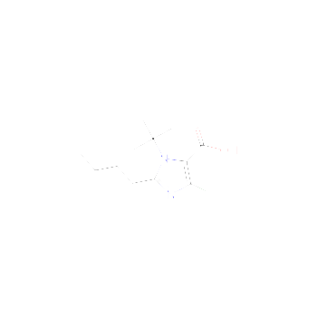 CCCCc1nc(Cl)c(C(=O)O)n1C(C)(C)C